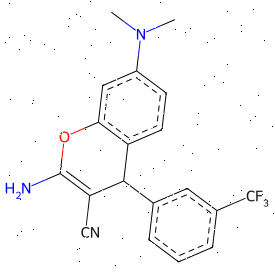 CN(C)c1ccc2c(c1)OC(N)=C(C#N)C2c1cccc(C(F)(F)F)c1